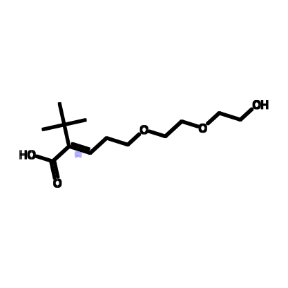 CC(C)(C)/C(=C\CCOCCOCCO)C(=O)O